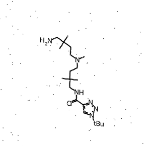 CN(CCC(C)(C)CN)CCC(C)(C)CNC(=O)c1cn(C(C)(C)C)nn1